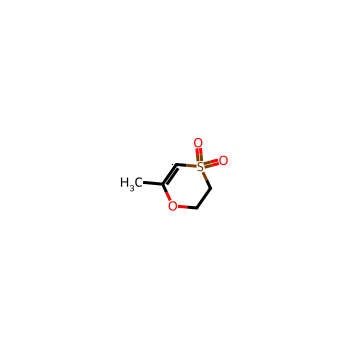 CC1=[C]S(=O)(=O)CCO1